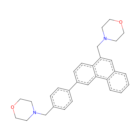 c1ccc2c(c1)cc(CN1CCOCC1)c1ccc(-c3ccc(CN4CCOCC4)cc3)cc12